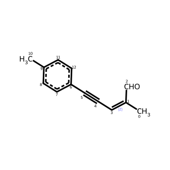 C/C(C=O)=C/C#Cc1ccc(C)cc1